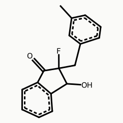 Cc1cccc(CC2(F)C(=O)c3ccccc3C2O)c1